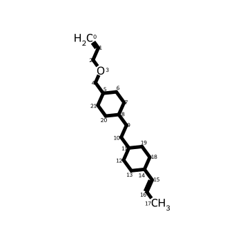 C=CCOCC1CCC(CCC2CCC(/C=C/C)CC2)CC1